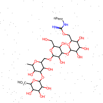 CCCCCNC(=N)OCC1OC(OC2C(O)C(CO)OC(OCC3OC(C)C(O)C(OC4OC(C(=O)O)C(O)C(O)C4O)C3O)C2O)C(O)C(O)C1O